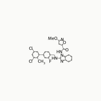 COc1cc(C(=O)Nn2c(NCc3ccc(-c4cc(Cl)cc(Cl)c4C)cc3F)nc3ccccc32)on1